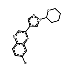 Brc1ccc2ncc(-c3cnn(C4CCCCO4)c3)nc2c1